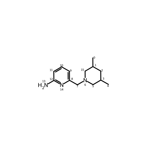 CC1CC(C)CN(Cc2cccc(N)n2)C1